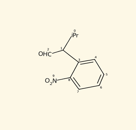 CC(C)C(C=O)c1ccccc1[N+](=O)[O-]